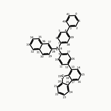 c1ccc(-c2ccc(N(c3ccc(-c4cccc5c4sc4ccccc45)cc3)c3ccc4ccccc4c3)cc2)cc1